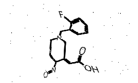 O=NC1CCN(Cc2ccccc2F)C/C1=C\C(=O)O